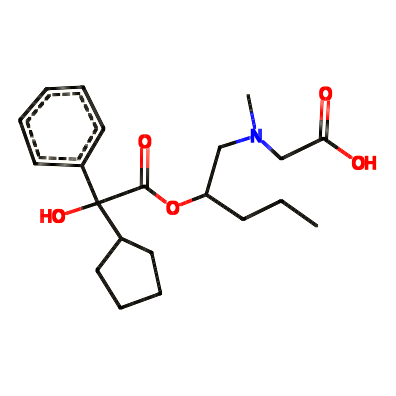 CCCC(CN(C)CC(=O)O)OC(=O)C(O)(c1ccccc1)C1CCCC1